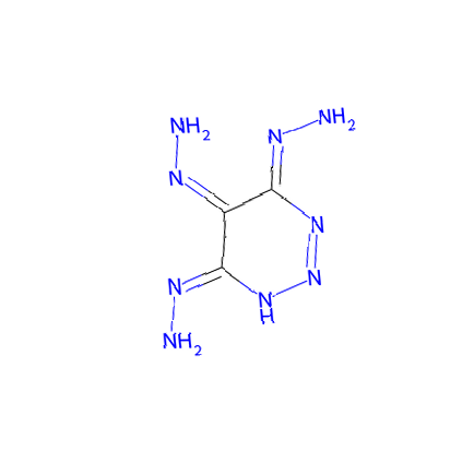 NN=C1N=NNC(=NN)C1=NN